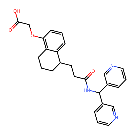 O=C(O)COc1cccc2c1CCCC2CCC(=O)NC(c1cccnc1)c1cccnc1